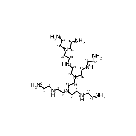 NCCNCCN(CCNCCN)CCN(CCNCCN)CCNCCN(CCN)CCN